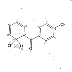 O=C(c1ccc(Cl)cc1)C1C=CC=CC1(Cl)S(=O)(=O)O